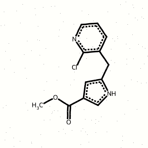 COC(=O)c1c[nH]c(Cc2cccnc2Cl)c1